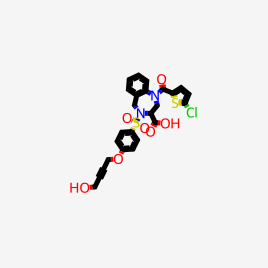 O=C(O)C1CN(C(=O)c2ccc(Cl)s2)c2ccccc2CN1S(=O)(=O)c1ccc(OCC#CCO)cc1